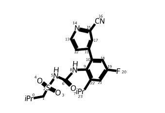 CC(C)CS(=O)(=O)NC(=O)Nc1c(-c2ccnc(C#N)c2)cc(F)cc1C(C)C